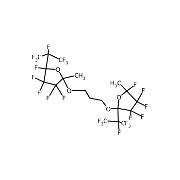 CC1(F)OC(OCCCOC2(C)OC(F)(C(F)(C(F)(F)F)C(F)(F)F)C(F)(F)C2(F)F)(C(F)(C(F)(F)F)C(F)(F)F)C(F)(F)C1(F)F